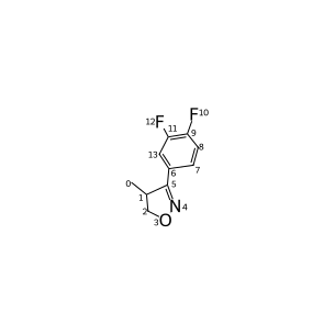 CC1CON=C1c1ccc(F)c(F)c1